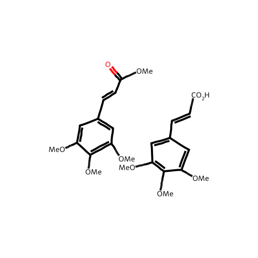 COC(=O)/C=C/c1cc(OC)c(OC)c(OC)c1.COc1cc(/C=C/C(=O)O)cc(OC)c1OC